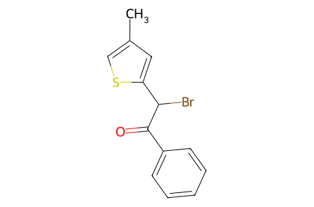 Cc1csc(C(Br)C(=O)c2ccccc2)c1